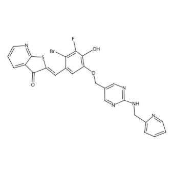 O=C1/C(=C/c2cc(OCc3cnc(NCc4ccccn4)nc3)c(O)c(F)c2Br)Sc2ncccc21